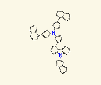 c1cc(-c2cccc3c2c2ccccc2n3-c2ccc3ccccc3c2)cc(N(c2ccc(-c3cccc4ccccc34)cc2)c2ccc(-c3cccc4ccccc34)cc2)c1